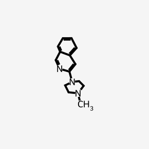 CN1CCN(c2cc3ccccc3cn2)CC1